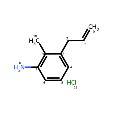 C=CCc1cccc(N)c1C.Cl